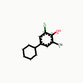 N#Cc1cc(C2CCCCC2)cc(Cl)c1O